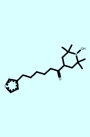 CC1(C)CC(C(=O)CCCCCc2ccsc2)CC(C)(C)N1O